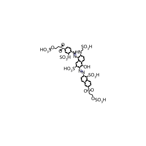 O=S(=O)(O)CNc1ccc2c(O)c(/N=N/c3ccc4cc(S(=O)(=O)CCOS(=O)(=O)O)ccc4c3S(=O)(=O)O)c(S(=O)(=O)O)cc2c1/N=N/c1ccc(S(=O)(=O)CCOS(=O)(=O)O)cc1S(=O)(=O)O